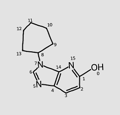 Oc1ccc2ncn(C3CCCCC3)c2n1